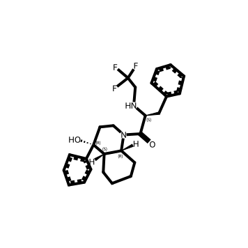 O=C([C@H](Cc1ccccc1)NCC(F)(F)F)N1CC[C@](O)(c2ccccc2)[C@H]2CCCC[C@H]21